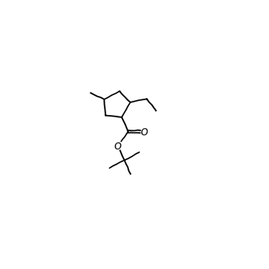 CCC1CC(C)CC1C(=O)OC(C)(C)C